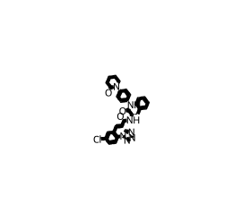 O=C(/C=C/c1cc(Cl)ccc1-n1cnnn1)N[C@@H](Cc1ccccc1)C(=O)Nc1ccc(N2CCCCC2=O)cc1